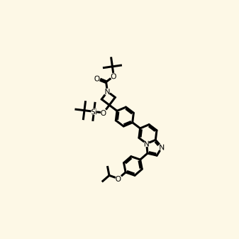 CC(C)Oc1ccc(-c2cnc3ccc(-c4ccc(C5(O[Si](C)(C)C(C)(C)C)CN(C(=O)OC(C)(C)C)C5)cc4)cn23)cc1